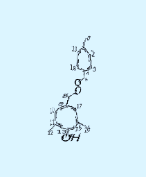 Cc1ccc(COOCc2cc(C)c(O)c(C)c2)cc1